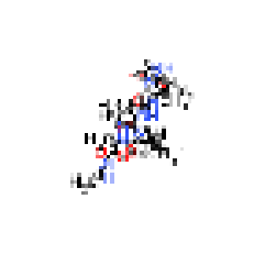 C=CCNC(=O)C(=O)C(C)NC(=O)[C@@H]1[C@@H]2[C@H](CN1C(=O)[C@@H](NC(=O)N[C@H](CN1C(=O)CNC1=O)C(C)(C)C)C(C)(C)C)C2(C)C